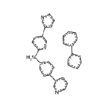 c1ccc(-c2ccccc2)cc1.c1cncc(-c2ccc([SiH2]c3ccc(-c4cccnc4)cc3)cc2)c1